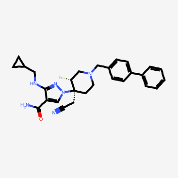 N#CC[C@@]1(n2cc(C(N)=O)c(NCC3CC3)n2)CCN(Cc2ccc(-c3ccccc3)cc2)C[C@H]1F